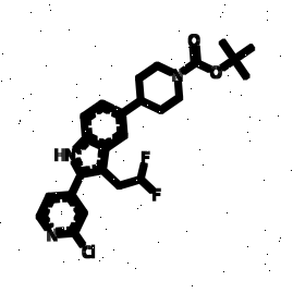 CC(C)(C)OC(=O)N1CCC(c2ccc3[nH]c(-c4ccnc(Cl)c4)c(CC(F)F)c3c2)CC1